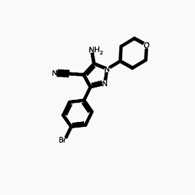 N#Cc1c(-c2ccc(Br)cc2)nn(C2CCOCC2)c1N